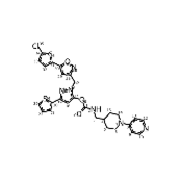 O=C(NCC1CCN(c2ccncc2)CC1)Oc1cc(-c2cccs2)nn1Cc1cc(-c2ccc(Cl)s2)on1